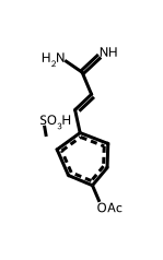 CC(=O)Oc1ccc(C=CC(=N)N)cc1.CS(=O)(=O)O